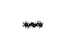 O=C(c1cc2ccc3c(ccc4cc(C(=O)c5c(F)c(F)c(F)c(F)c5F)sc43)c2s1)c1c(F)c(F)c(F)c(F)c1F